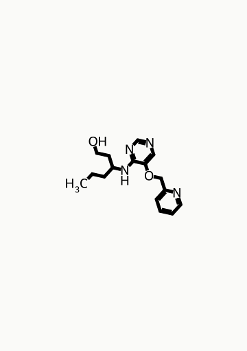 CCCC(CCO)Nc1ncncc1OCc1ccccn1